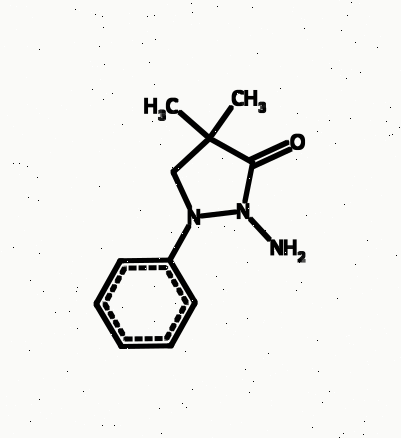 CC1(C)CN(c2ccccc2)N(N)C1=O